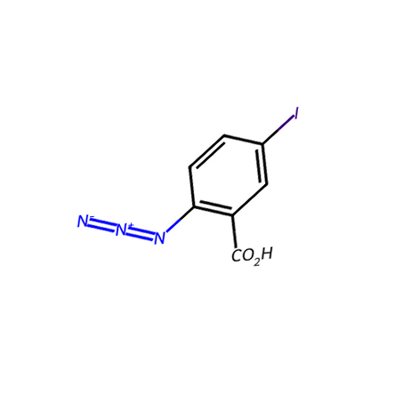 [N-]=[N+]=Nc1ccc(I)cc1C(=O)O